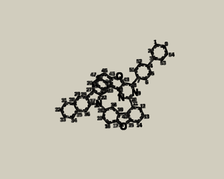 c1ccc(-c2ccc(-c3nc(-c4cccc5oc6ccc(-n7c8ccccc8c8cc9ccccc9cc87)cc6c45)nc4c3oc3ccccc34)cc2)cc1